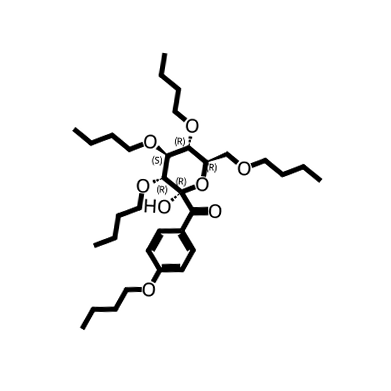 CCCCOC[C@H]1O[C@@](O)(C(=O)c2ccc(OCCCC)cc2)[C@H](OCCCC)[C@@H](OCCCC)[C@@H]1OCCCC